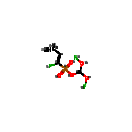 CC=C(F)S(=O)(=O)OB(OF)OF.[LiH]